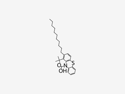 CCCCCCCCCCCc1ccc2c(c1C(C)(C)C)N(C(=O)O)c1ccccc1S2